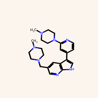 CN1CCN(Cc2cnc3[nH]cc(-c4ccnc(N5CCN(C)CC5)c4)c3c2)CC1